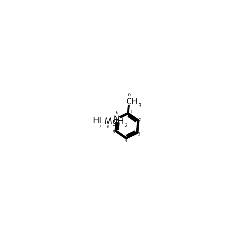 Cc1ccccn1.I.[MgH2]